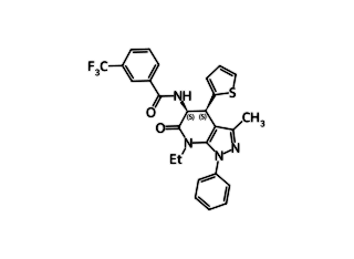 CCN1C(=O)[C@@H](NC(=O)c2cccc(C(F)(F)F)c2)[C@@H](c2cccs2)c2c(C)nn(-c3ccccc3)c21